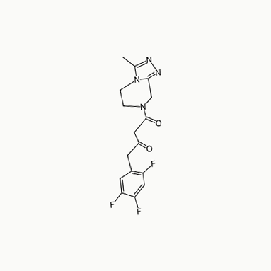 Cc1nnc2n1CCN(C(=O)CC(=O)Cc1cc(F)c(F)cc1F)C2